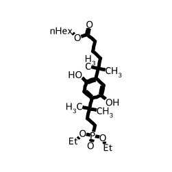 CCCCCCOC(=O)CCCC(C)(C)c1cc(O)c(C(C)(C)CCP(=O)(OCC)OCC)cc1O